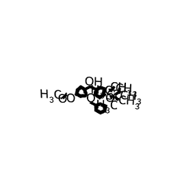 COCOc1ccc(C(O)c2ccc(O[Si](C(C)C)(C(C)C)C(C)C)cc2)c(OCc2ccccc2)c1